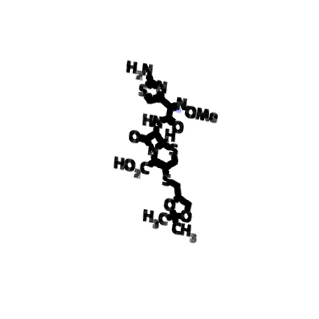 CO/N=C(\C(=O)NC1C(=O)N2C(C(=O)O)=C(SCC3COC(C)(C)O3)CS[C@H]12)c1csc(N)n1